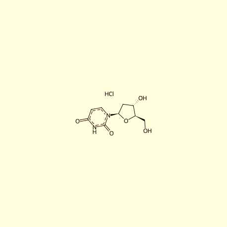 Cl.O=c1ccn([C@H]2C[C@H](O)[C@@H](CO)O2)c(=O)[nH]1